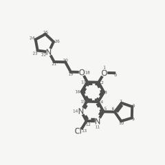 COc1cc2c(C3=CCCC3)nc(Cl)nc2cc1OCCCN1CCCC1